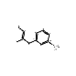 CC=C(C)Cc1cccc(N)c1